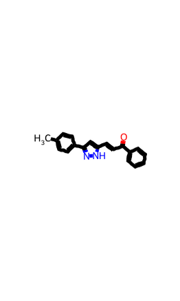 Cc1ccc(-c2cc(/C=C/C(=O)c3ccccc3)[nH]n2)cc1